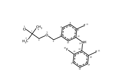 CC(C)(Cl)COCc1ccc(F)c(Nc2c(F)cccc2F)c1